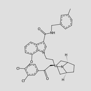 COc1cccc2c(C(=O)NCc3cccc(C)c3)cn(CCCN3[C@@H]4CC[C@H]3C[C@@H](CC(=O)c3ccc(Cl)c(Cl)c3)C4)c12